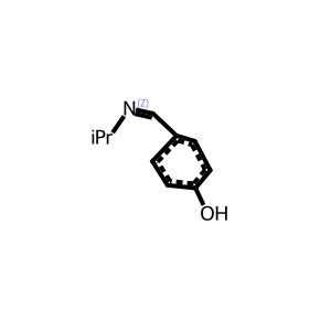 CC(C)/N=C\c1ccc(O)cc1